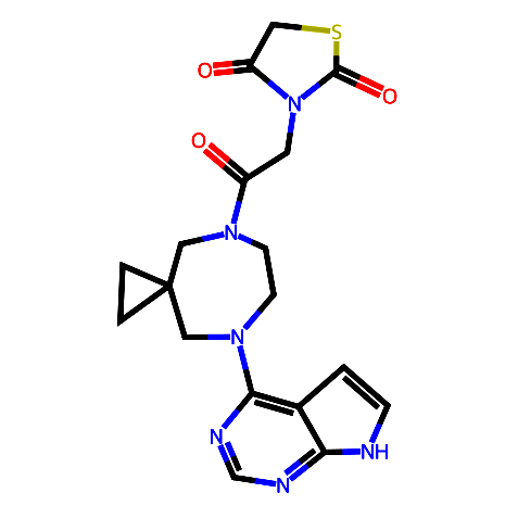 O=C(CN1C(=O)CSC1=O)N1CCN(c2ncnc3[nH]ccc23)CC2(CC2)C1